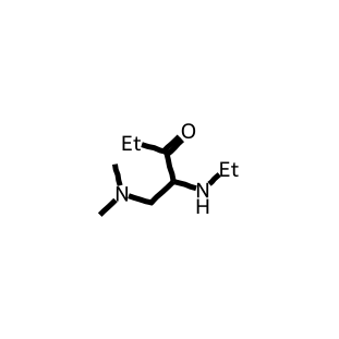 CCNC(CN(C)C)C(=O)CC